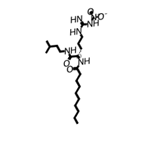 CCCCCCCCCC(=O)N[C@@H](CCCNC(=N)N[N+](=O)[O-])C(=O)NCCC(C)C